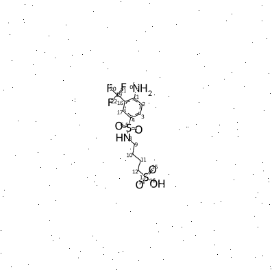 Nc1ccc(S(=O)(=O)NCCCCS(=O)(=O)O)cc1C(F)(F)F